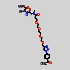 CNC(=O)[C@@H](NC(=O)CN(C)C(=O)CCOCCOCCOCCOCc1cn(-c2ccc(C(=O)C=O)cc2)nn1)C(C)C